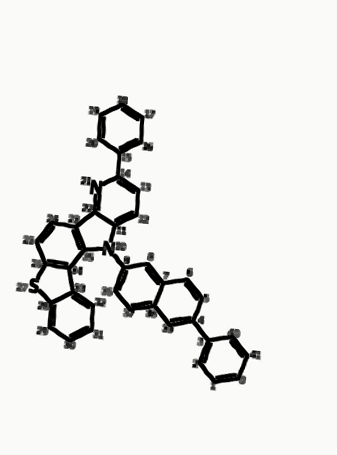 c1ccc(-c2ccc3cc(-n4c5ccc(-c6ccccc6)nc5c5ccc6sc7ccccc7c6c54)ccc3c2)cc1